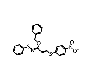 O=[N+]([O-])c1ccc(S/C=C/C(=N/Sc2ccccc2)OCc2ccccc2)cc1